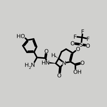 NC(C(=O)N[C@@H]1C(=O)N2C(C(=O)O)=C(OS(=O)(=O)C(F)(F)F)CC[C@H]12)c1ccc(O)cc1